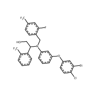 CCc1cc(Oc2cccc(N(Cc3ccc(C(F)(F)F)cc3F)C(CO)c3ccccc3C(F)(F)F)c2)ccc1Cl